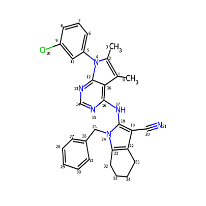 Cc1c(C)n(-c2cccc(Cl)c2)c2ncnc(Nc3c(C#N)c4c(n3Cc3ccccc3)CCCC4)c12